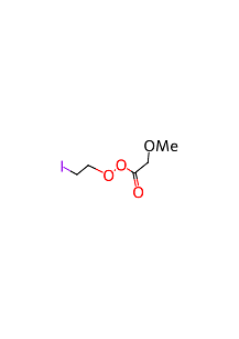 COCC(=O)OOCCI